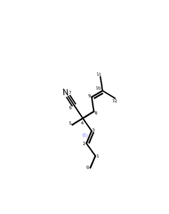 CC/C=C/C(C)(C#N)CC=C(C)C